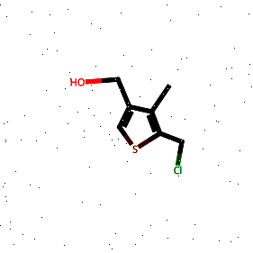 Cc1c(CO)csc1CCl